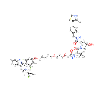 Cc1ncsc1-c1ccc(CNC(=O)[C@@H]2C[C@@H](O)CN2C(=O)[C@@H](NC(=O)COCCCOCCCCCOc2cc(F)c([C@@H]3c4[nH]c5ccccc5c4C[C@@H](C)N3CC(C)(C)F)c(F)c2)C(C)(C)C)cc1